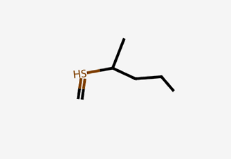 [CH]=[SH]C(C)CCC